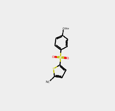 COc1ccc(S(=O)(=O)c2ccc(C#N)s2)cc1